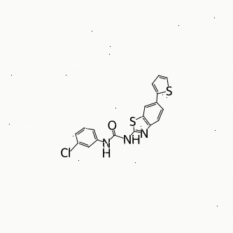 O=C(Nc1cccc(Cl)c1)Nc1nc2ccc(-c3cccs3)cc2s1